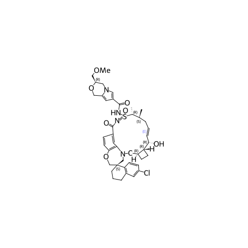 COC[C@H]1Cn2cc(C(=O)NS3(=O)=NC(=O)c4ccc5c(c4)N(C[C@@H]4CC[C@H]4[C@@H](O)/C=C/C[C@H](C)[C@H]3C)C[C@@]3(CCCc4cc(Cl)ccc43)CO5)cc2CO1